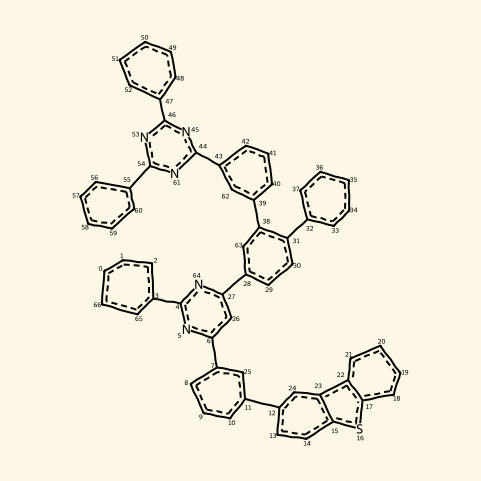 c1ccc(-c2nc(-c3cccc(-c4ccc5sc6ccccc6c5c4)c3)cc(-c3ccc(-c4ccccc4)c(-c4cccc(-c5nc(-c6ccccc6)nc(-c6ccccc6)n5)c4)c3)n2)cc1